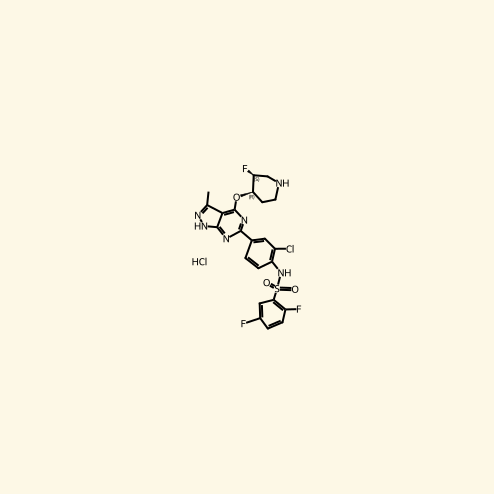 Cc1n[nH]c2nc(-c3ccc(NS(=O)(=O)c4cc(F)ccc4F)c(Cl)c3)nc(O[C@@H]3CCNC[C@@H]3F)c12.Cl